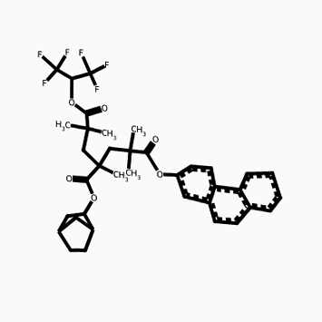 CC(C)(CC(C)(CC(C)(C)C(=O)OC(C(F)(F)F)C(F)(F)F)C(=O)OC1CC2CCC1C2)C(=O)Oc1ccc2c(ccc3ccccc32)c1